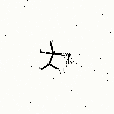 COC(C)(C)C(C)N.COC(C)=O